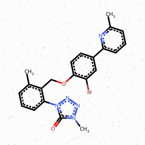 Cc1cccc(-c2ccc(OCc3c(C)cccc3-n3nnn(C)c3=O)c(Br)c2)n1